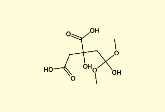 COC(O)(CC(O)(CC(=O)O)C(=O)O)OC